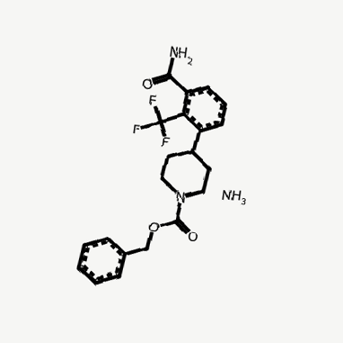 N.NC(=O)c1cccc(C2CCN(C(=O)OCc3ccccc3)CC2)c1C(F)(F)F